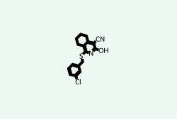 N#Cc1c(O)nc(SCc2cccc(Cl)c2)c2c1CCCC2